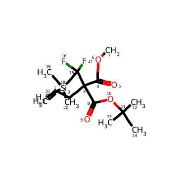 C=CCC(C(=O)OC)(C(=O)OC(C)(C)C)C(F)(F)[Si](C)(C)C